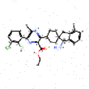 CCOC(=O)c1nc(-c2cccc(Cl)c2Cl)c(C)nc1C1CCC2(CC1)Cc1c(C)cccc1[C@H]2N